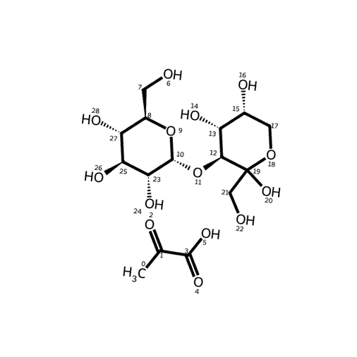 CC(=O)C(=O)O.OC[C@H]1O[C@H](O[C@H]2[C@H](O)[C@H](O)COC2(O)CO)[C@H](O)[C@@H](O)[C@@H]1O